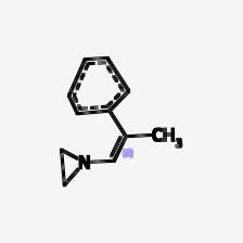 C/C(=C/N1CC1)c1ccccc1